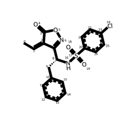 C/C=C1\C(=O)ON=C1[C@@H](Cc1ccccc1)NS(=O)(=O)c1ccc(Cl)cc1